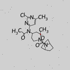 CCOC(=O)N1C2CCC1CC(N1CCC(N(C(C)=O)c3cc(C)nc(Cl)n3)CC1)C2